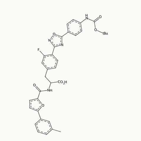 Cc1cccc(-c2ccc(C(=O)NC(Cc3ccc(-c4noc(-c5ccc(NC(=O)OC(C)(C)C)cc5)n4)c(F)c3)C(=O)O)o2)c1